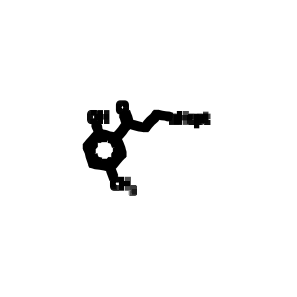 CCCCCCCCCC(=O)c1cc(C)ccc1O